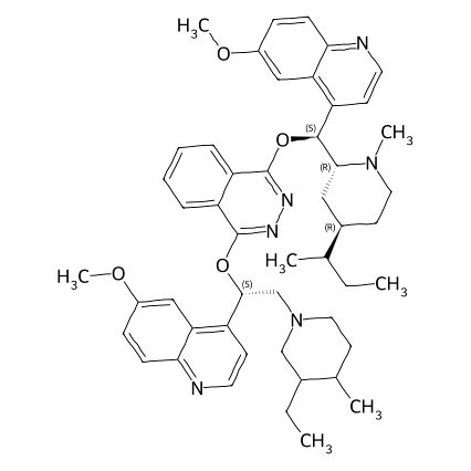 CCC1CN(C[C@@H](Oc2nnc(O[C@@H](c3ccnc4ccc(OC)cc34)[C@H]3C[C@H](C(C)CC)CCN3C)c3ccccc23)c2ccnc3ccc(OC)cc23)CCC1C